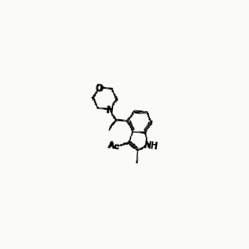 CC(=O)c1c(C)[nH]c2cccc(C(C)N3CCOCC3)c12